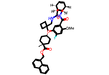 COc1cc(F)c(O[C@H]2CC[C@@](C)(C(=O)OCc3cccc4ccccc34)CC2)cc1C(=O)N[C@H]1[C@@H](C(=O)NCC2(C)CCC2)[C@H]2C=C[C@@H]1CC2